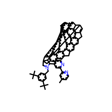 Cc1ccnc(-c2cc(C3C4C5C=C6Cc7cc8cc9c%10c%11c(cc%12cc%13c%14c(c%15c%16c%17c(c6c7c6c8c%10c(c%176)c6c%11c%12c%14c%166)C%155)C4(C%13)CN3Cc3cc(C(C)(C)C)cc(C(C)(C)C)c3)C9)ccn2)c1